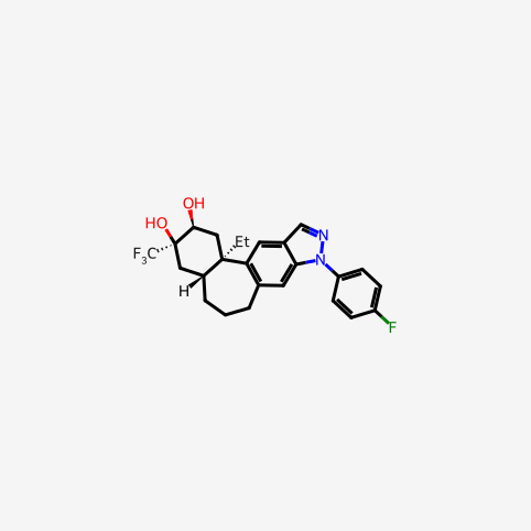 CC[C@@]12C[C@H](O)[C@@](O)(C(F)(F)F)C[C@H]1CCCc1cc3c(cnn3-c3ccc(F)cc3)cc12